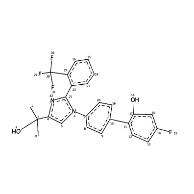 CC(C)(O)c1cn(-c2ccc(-c3ccc(F)cc3O)cc2)c(-c2ccccc2C(F)(F)F)n1